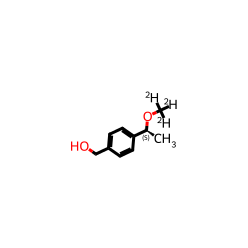 [2H]C([2H])([2H])O[C@@H](C)c1ccc(CO)cc1